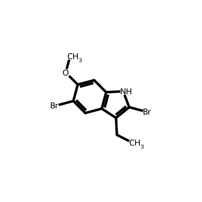 CCc1c(Br)[nH]c2cc(OC)c(Br)cc12